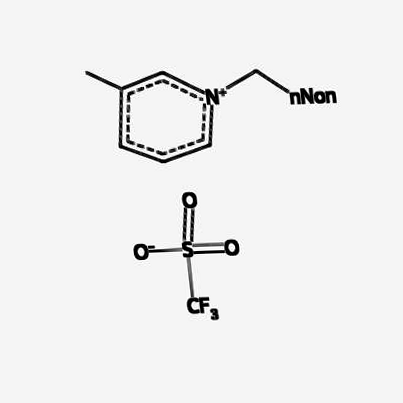 CCCCCCCCCC[n+]1cccc(C)c1.O=S(=O)([O-])C(F)(F)F